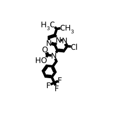 CC(C)c1cnc2c(N(Cc3cccc(C(F)(F)F)c3)C(=O)O)cc(Cl)nn12